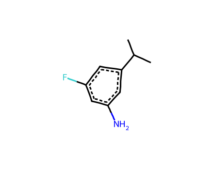 CC(C)c1cc(N)cc(F)c1